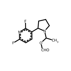 CC(OC=O)N1CCCC1c1ccc(F)nc1F